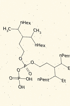 CCCCCCC(C)C(CCOP(=O)(OCCC(C(CC)CCCCC)C(CC)CCCCC)OP(=O)(O)O)C(C)CCCCCC